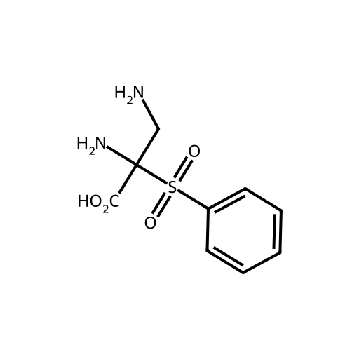 NCC(N)(C(=O)O)S(=O)(=O)c1ccccc1